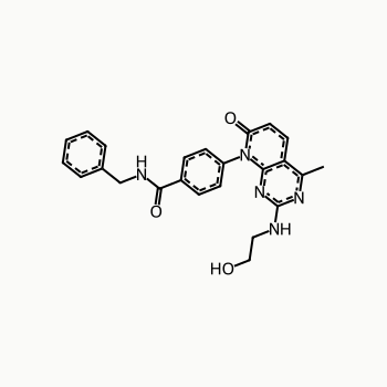 Cc1nc(NCCO)nc2c1ccc(=O)n2-c1ccc(C(=O)NCc2ccccc2)cc1